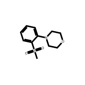 [CH2]S(=O)(=O)c1ccccc1N1CCOCC1